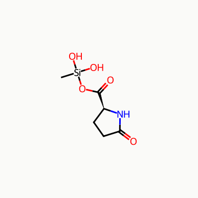 C[Si](O)(O)OC(=O)[C@@H]1CCC(=O)N1